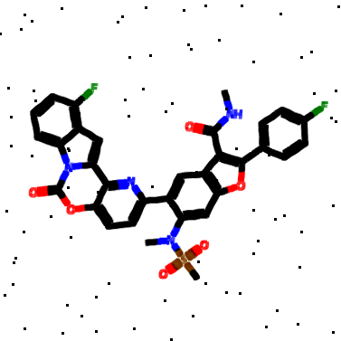 CNC(=O)c1c(-c2ccc(F)cc2)oc2cc(N(C)S(C)(=O)=O)c(-c3ccc4oc(=O)n5c6cccc(F)c6cc5c4n3)cc12